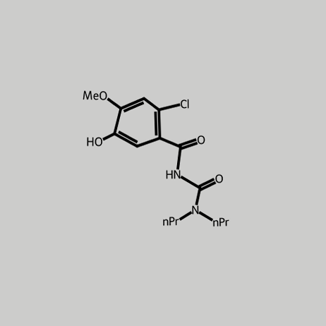 CCCN(CCC)C(=O)NC(=O)c1cc(O)c(OC)cc1Cl